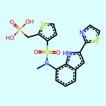 CN(c1cccc2cc(-c3nccs3)[nH]c12)S(=O)(=O)c1ccsc1CP(=O)(O)O